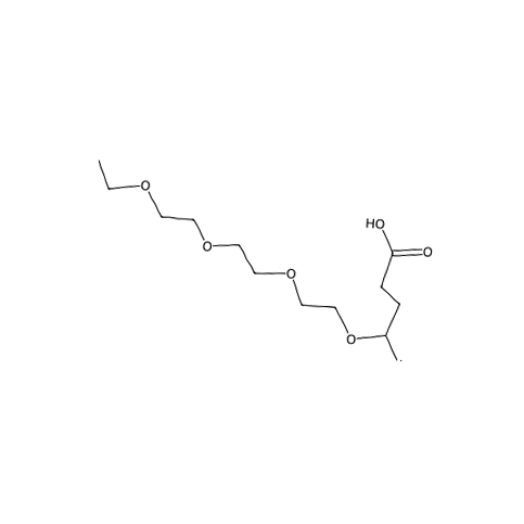 [CH2]C(CCC(=O)O)OCCOCCOCCOCC